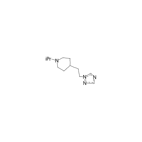 CC(C)N1CCC(CCn2cncn2)CC1